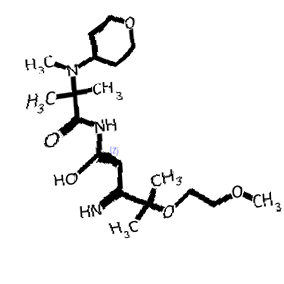 COCCOC(C)(C)C(=N)/C=C(\O)NC(=O)C(C)(C)N(C)C1CCOCC1